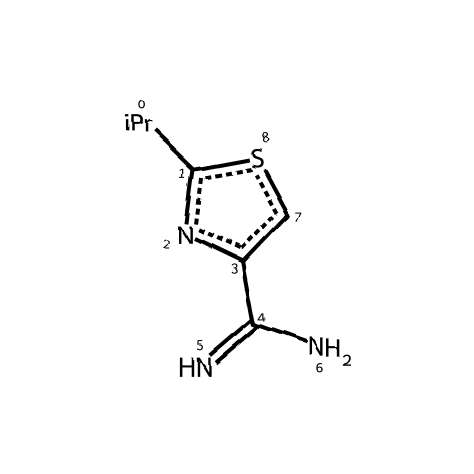 CC(C)c1nc(C(=N)N)cs1